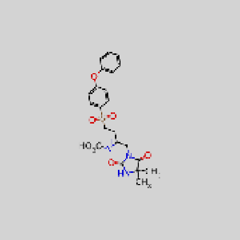 CC1(C)NC(=O)N(CC(CCS(=O)(=O)c2ccc(Oc3ccccc3)cc2)NC(=O)O)C1=O